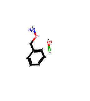 NOCc1ccccc1.OCl